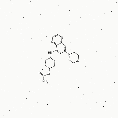 NC(=O)OC1CCC(Nc2cc(N3CCOCC3)cc3nccnc23)CC1